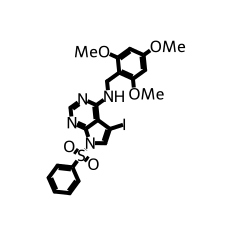 COc1cc(OC)c(CNc2ncnc3c2c(I)cn3S(=O)(=O)c2ccccc2)c(OC)c1